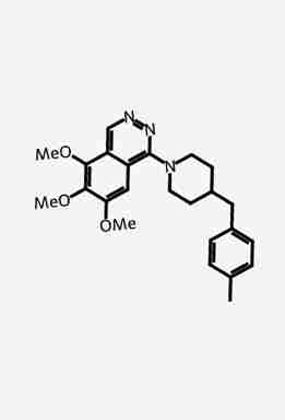 COc1cc2c(N3CCC(Cc4ccc(C)cc4)CC3)nncc2c(OC)c1OC